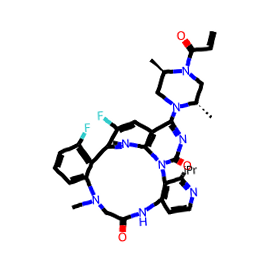 C=CC(=O)N1C[C@H](C)N(c2nc(=O)n3c4nc(c(F)cc24)-c2c(F)cccc2N(C)CC(=O)Nc2ccnc(C(C)C)c2-3)C[C@H]1C